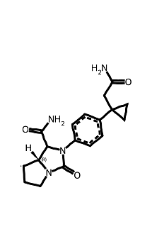 NC(=O)CC1(c2ccc(N3C(=O)N4CC[CH][C@@H]4C3C(N)=O)cc2)CC1